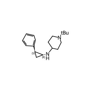 CC(C)(C)N1CCC(N[C@@H]2C[C@H]2c2ccccc2)CC1